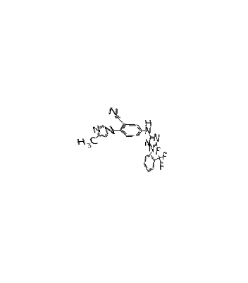 Cc1cn(-c2ccc(Nc3ncn(-c4ccccc4C(F)(F)F)n3)cc2C#N)cn1